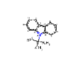 CCCC(C)(C)n1c2ccccc2c2ccccc21